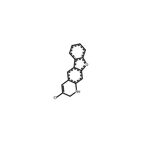 ClC1=Cc2cc3c(cc2NC1)oc1ccccc13